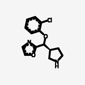 Clc1ccccc1OC(c1ncco1)[C@H]1CCNC1